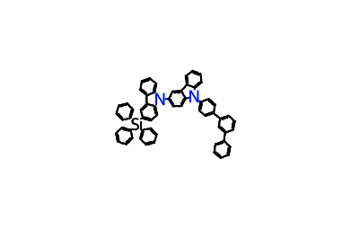 c1ccc(-c2cccc(-c3ccc(-n4c5ccccc5c5cc(-n6c7ccccc7c7cc([Si](c8ccccc8)(c8ccccc8)c8ccccc8)ccc76)ccc54)cc3)c2)cc1